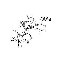 COc1ccccc1CCC(C)NC1CCn2c(=O)[nH]c3cccc(c32)C1O